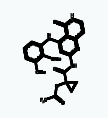 COc1cccc(Nc2cc(NC(=O)C3(OC(=O)C(F)(F)F)CC3)nc3cc[nH]c(=O)c23)c1OC